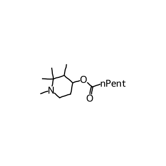 CCCCCC(=O)OC1CCN(C)C(C)(C)C1C